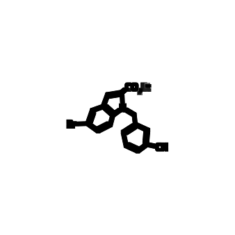 CCOC(=O)c1cc2cc(Br)ccc2n1Cc1cccc(C#N)c1